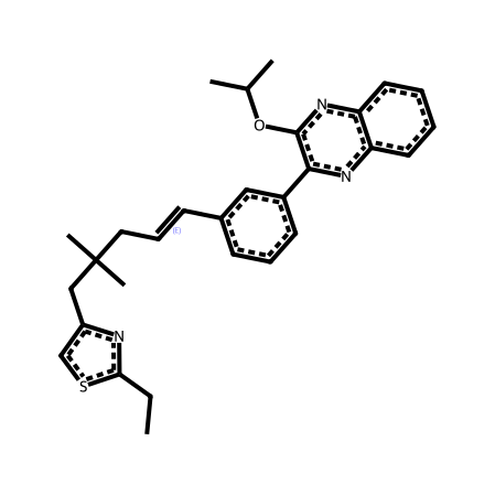 CCc1nc(CC(C)(C)C/C=C/c2cccc(-c3nc4ccccc4nc3OC(C)C)c2)cs1